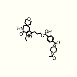 CCn1nc(CCCOC(O)c2ccc(C(=O)N3CCN(C(C)=O)CC3)cc2)c2c1C(=O)NCC1(CCOCC1)C2